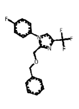 Fc1ccc(-n2cc(C(F)(F)F)nc2COCc2ccccc2)cc1